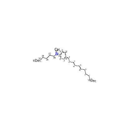 CCCCCCCCCCCCCCCCCCCc1ccc(N(C)CCCCCCCCCCCCCC)cc1